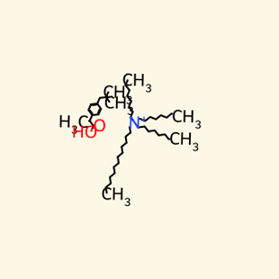 CC(C)Cc1ccc(C(C)C(=O)O)cc1.CCCCCCCCCCCCCC[N+](CCCCCCCC)(CCCCCCCC)CCCCCCCC